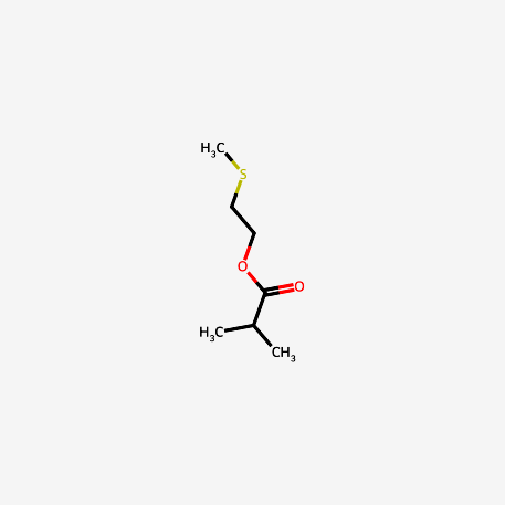 CSCCOC(=O)C(C)C